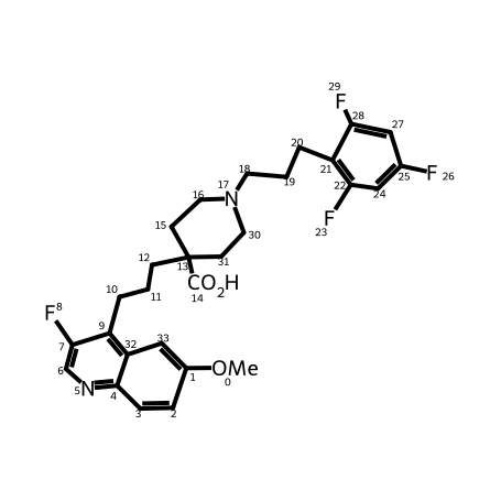 COc1ccc2ncc(F)c(CCCC3(C(=O)O)CCN(CCCc4c(F)cc(F)cc4F)CC3)c2c1